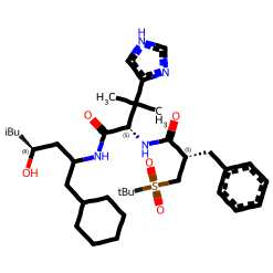 CCC(C)[C@H](O)CC(CC1CCCCC1)NC(=O)[C@@H](NC(=O)[C@H](Cc1ccccc1)CS(=O)(=O)C(C)(C)C)C(C)(C)c1c[nH]cn1